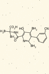 Bc1nc(C(=O)NC(B)(B)C(=O)O)c(O)c(B)c1-c1cccc(C#N)c1